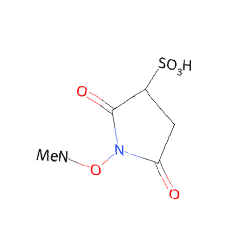 CNON1C(=O)CC(S(=O)(=O)O)C1=O